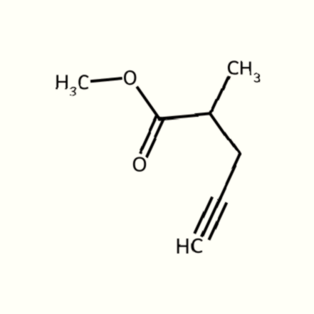 C#CCC(C)C(=O)OC